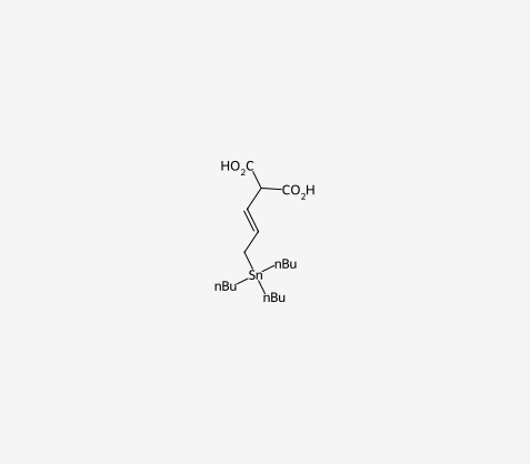 CCC[CH2][Sn]([CH2]C=CC(C(=O)O)C(=O)O)([CH2]CCC)[CH2]CCC